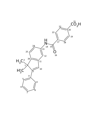 CC1(C)C(c2ccccc2)=Cc2cc(NC(=O)c3ccc(C(=O)O)cc3)ccc21